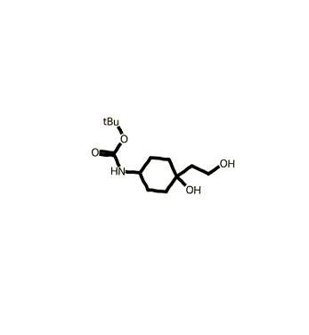 CC(C)(C)OC(=O)NC1CCC(O)(CCO)CC1